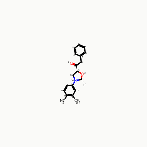 C[C@H]1O[C@H](C(=O)Cc2ccccc2)CN1c1ccc(C#N)c(C(F)(F)F)c1